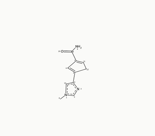 Cn1cnc(C2=CC(C(N)=O)=CC2)c1